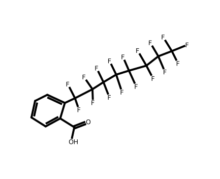 O=C(O)c1ccccc1C(F)(F)C(F)(F)C(F)(F)C(F)(F)C(F)(F)C(F)(F)C(F)(F)C(F)(F)F